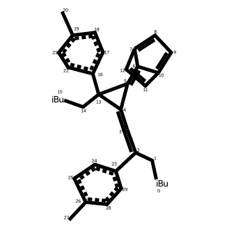 CCC(C)CC(=C=C1C(=C2C3=CC=C2C=C3)C1(CC(C)CC)c1ccc(C)cc1)c1ccc(C)cc1